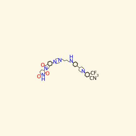 N#Cc1ccc(N2CCC(c3ccc(NCCCCN4CCN(c5ccc6c(c5)CN(C5CCC(=O)NC5=O)C6=O)CC4)cc3)CC2)cc1C(F)(F)F